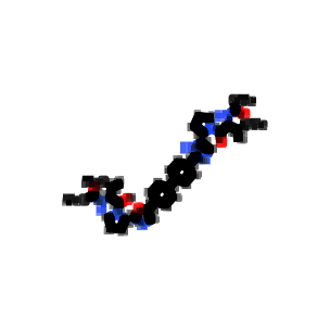 COC(=O)N[C@H](C(=O)N1CCC[C@H]1c1cnc(-c2ccc(-c3ccc(-c4cnc([C@@H]5CCCN5C(=O)[C@@H](NC(=O)OC)[C@@H](C)OC)o4)cc3)cc2)[nH]1)[C@@H](C)OC